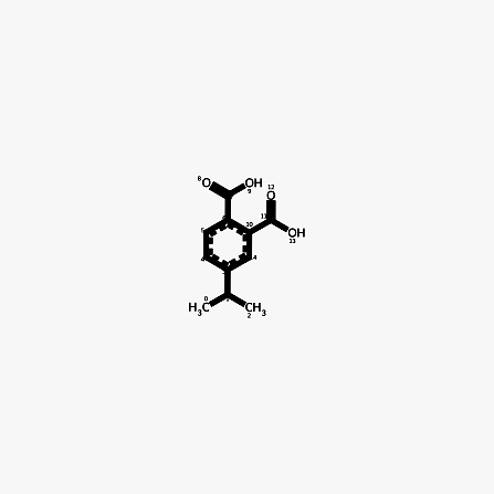 C[C](C)c1ccc(C(=O)O)c(C(=O)O)c1